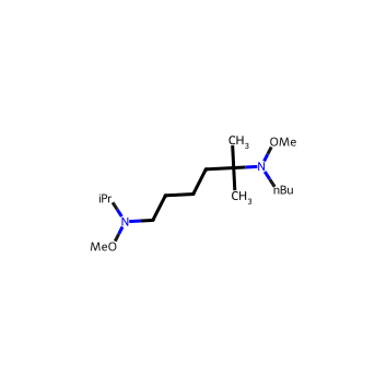 CCCCN(OC)C(C)(C)CCCCN(OC)C(C)C